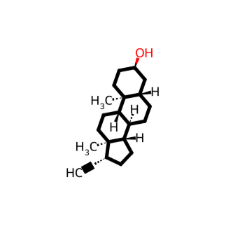 C#C[C@H]1CC[C@H]2[C@@H]3CC[C@H]4C[C@H](O)CC[C@]4(C)[C@H]3CC[C@]12C